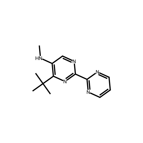 CNc1cnc(-c2ncccn2)nc1C(C)(C)C